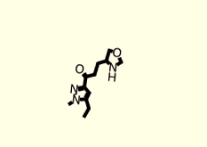 CCc1cc(C(=O)CCC2COCN2)nn1C